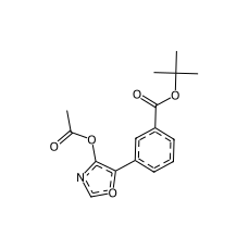 CC(=O)Oc1ncoc1-c1cccc(C(=O)OC(C)(C)C)c1